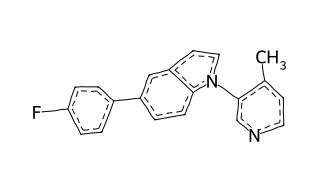 Cc1ccncc1-n1ccc2cc(-c3ccc(F)cc3)ccc21